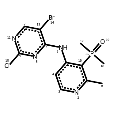 Cc1nccc(Nc2nc(Cl)ncc2Br)c1P(C)(C)=O